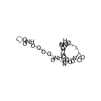 COc1cc2cc(c1Cl)N(C)C(=O)C[C@H](OC(=O)[C@H](C)N(C)C(=O)CCCNC(=O)CCOCCOCCOCCOCCNC(=O)OC1CC/C=C/CCC1)[C@@]1(C)O[C@H]1[C@H](C)[C@@H]1C[C@@](O)(NC(=O)O1)[C@H](OC)/C=C/C=C(\C)C2